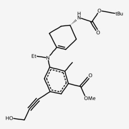 CCN(C1=CC[C@@H](NC(=O)OC(C)(C)C)CC1)c1cc(C#CCO)cc(C(=O)OC)c1C